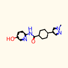 Cn1cc(C2CCC(C(=O)Nc3ccc(O)cn3)CC2)cn1